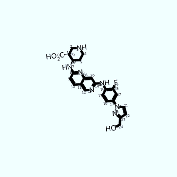 O=C(O)[C@@H]1CNCC[C@H]1Nc1ccc2cnc(Nc3ccc(-n4ccc(CO)n4)cc3F)cc2n1